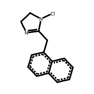 ClN1CCN=C1Cc1cccc2ccccc12